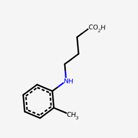 Cc1ccccc1NCCCC(=O)O